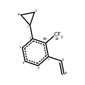 C=[C]c1cccc(C2CC2)c1C(F)(F)F